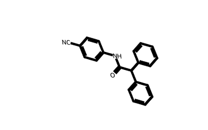 N#Cc1ccc(NC(=O)C(c2ccccc2)c2ccccc2)cc1